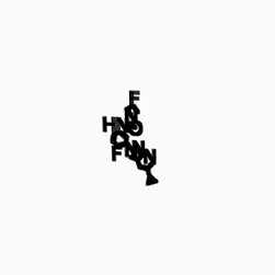 O=C(Nc1ccc(F)c(-n2cc3cc(C4CC4)cnc3n2)c1)N1CC(F)C1